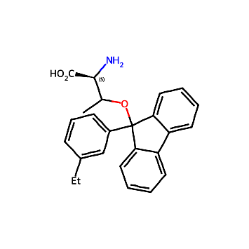 CCc1cccc(C2(OC(C)[C@H](N)C(=O)O)c3ccccc3-c3ccccc32)c1